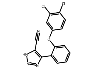 N#Cc1[nH]nnc1-c1ccccc1Oc1ccc(Cl)c(Cl)c1